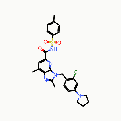 Cc1ccc(S(=O)(=O)NC(=O)c2cc(C)c3nc(C)n(Cc4ccc(N5CCCC5)cc4Cl)c3n2)cc1